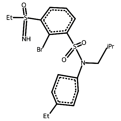 CCc1ccc(N(CC(C)C)S(=O)(=O)c2cccc(S(=N)(=O)CC)c2Br)cc1